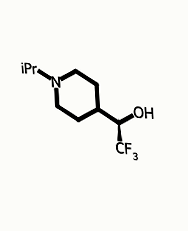 CC(C)N1CCC([C@@H](O)C(F)(F)F)CC1